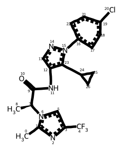 Cc1nc(C(F)(F)F)cn1[C@@H](C)C(=O)Nc1cnn(-c2ccc(Cl)cc2)c1C1CC1